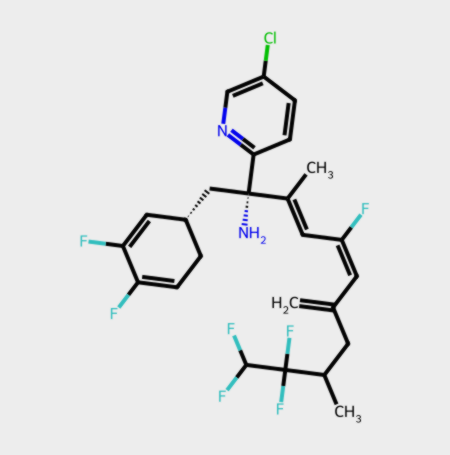 C=C(/C=C(F)\C=C(/C)[C@@](N)(C[C@H]1C=C(F)C(F)=CC1)c1ccc(Cl)cn1)CC(C)C(F)(F)C(F)F